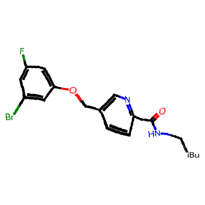 CCC(C)CNC(=O)c1ccc(COc2cc(F)cc(Br)c2)cn1